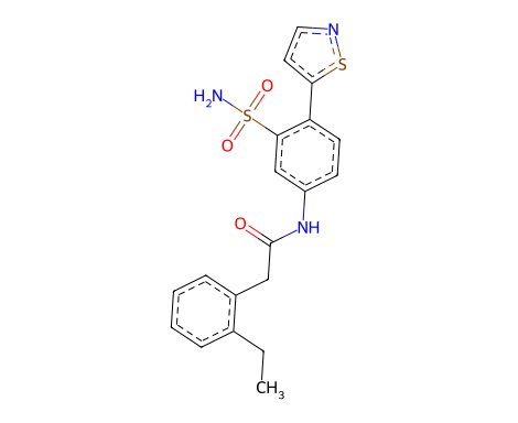 CCc1ccccc1CC(=O)Nc1ccc(-c2ccns2)c(S(N)(=O)=O)c1